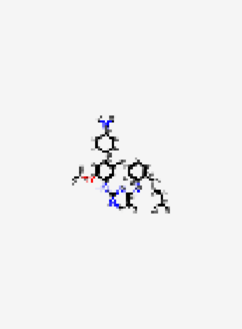 Cc1cnc(Nc2cc(C)c([C@H]3CC[C@@H](N(C)C)CC3)cc2OC(C)C)nc1Nc1ccccc1C/C=C/C(C)C